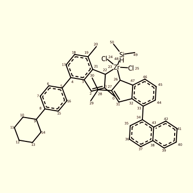 CC1=Cc2c(-c3ccc(C4CCCCC4)cc3)ccc(C)c2[CH]1[Zr]([Cl])([Cl])([CH]1C(C(C)C)=Cc2c(-c3cccc4ccccc34)cccc21)[SiH](C)C